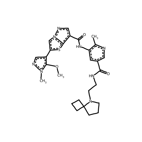 COc1c(-c2cn3ncc(C(=O)Nc4cc(C(=O)NCCN5CCCC56CCC6)cnc4C)c3s2)cnn1C